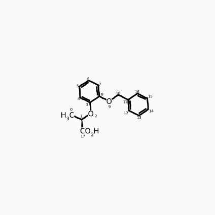 C[C@@H](Oc1ccccc1OCc1ccccc1)C(=O)O